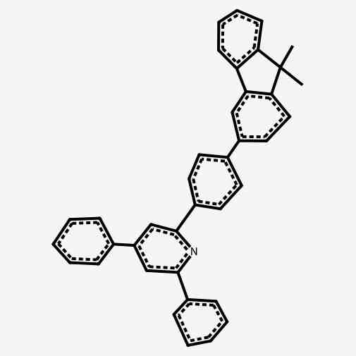 CC1(C)c2ccccc2-c2cc(-c3ccc(-c4cc(-c5ccccc5)cc(-c5ccccc5)n4)cc3)ccc21